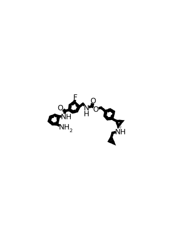 Nc1ccccc1NC(=O)c1ccc(CNC(=O)OCc2ccc(C3C[C@@H]3NCC3CC3)cc2)c(F)c1